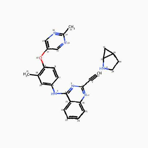 C#Cc1nc(Nc2ccc(Oc3cnc(C)nc3)c(C)c2)c2ccccc2n1.C1CC2CC2N1